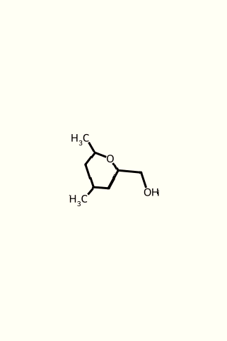 CC1CC(C)OC(CO)C1